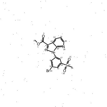 COC(=O)c1nn(-c2cc(Br)cc(S(C)(=O)=O)c2)c2ncccc12